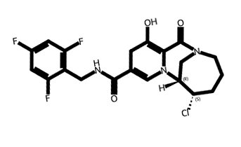 O=C(NCc1c(F)cc(F)cc1F)C1=CN2C(=C(O)C1)C(=O)N1CCC[C@H](Cl)[C@H]2C1